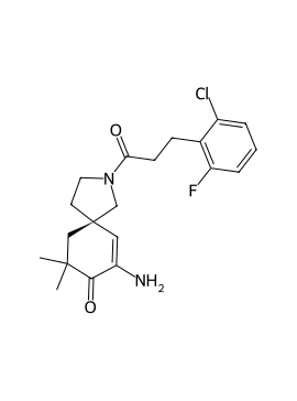 CC1(C)C[C@@]2(C=C(N)C1=O)CCN(C(=O)CCc1c(F)cccc1Cl)C2